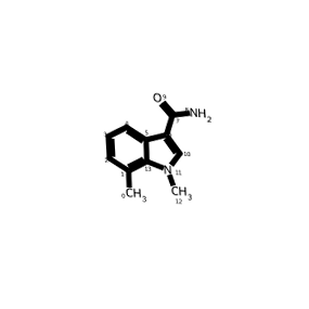 Cc1cccc2c(C(N)=O)cn(C)c12